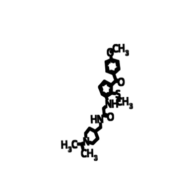 COc1ccc(C(=O)c2cccc(NCC(=O)NCC3CCN(C(C)C)CC3)c2SC)cc1